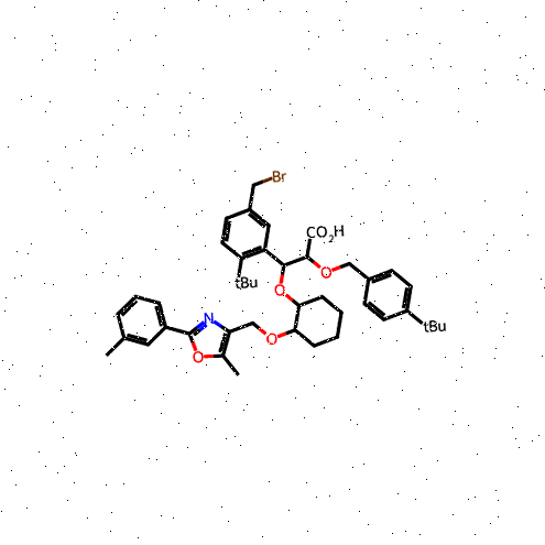 Cc1cccc(-c2nc(COC3CCCCC3OC(c3cc(CBr)ccc3C(C)(C)C)C(OCc3ccc(C(C)(C)C)cc3)C(=O)O)c(C)o2)c1